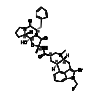 CN1C[C@H](C(=O)N[C@]2(C)O[C@@]3(O)[C@@H]4CCCN4C(=O)[C@H](Cc4ccccc4)N3C2=O)C[C@@H]2c3cccc4c3c(c(Br)n4CF)C[C@H]21